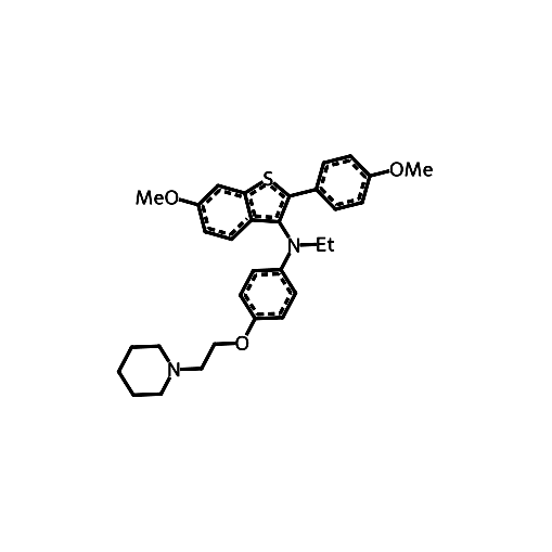 CCN(c1ccc(OCCN2CCCCC2)cc1)c1c(-c2ccc(OC)cc2)sc2cc(OC)ccc12